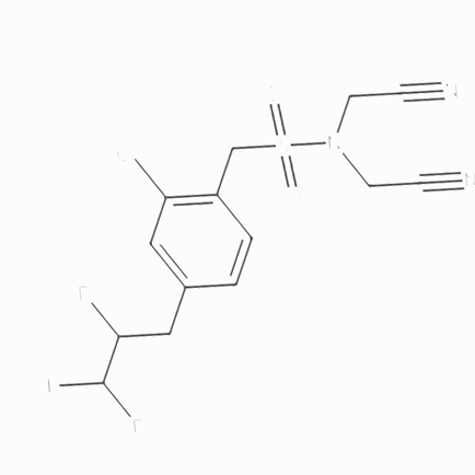 N#CCN(CC#N)S(=O)(=O)Cc1ccc(CC(F)C(F)F)cc1Cl